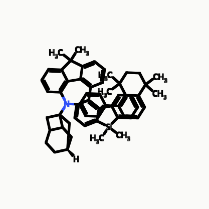 CC1(C)CCC(C)(C)c2c(-c3ccc(N(c4cccc5c4-c4c(-c6cccc7c6-c6ccccc6[Si]7(C)C)cccc4C5(C)C)C45CC6CC[C@@H](CC64)C5)cc3)cccc21